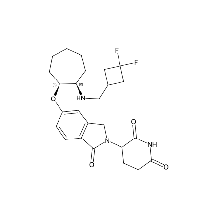 O=C1CCC(N2Cc3cc(O[C@H]4CCCCC[C@H]4NCC4CC(F)(F)C4)ccc3C2=O)C(=O)N1